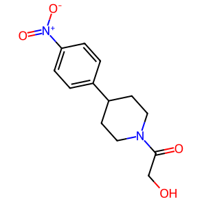 O=C(CO)N1CCC(c2ccc([N+](=O)[O-])cc2)CC1